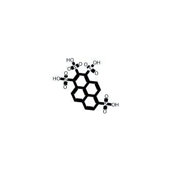 O=S(=O)(O)c1c(S(=O)(=O)O)c2ccc3ccc(S(=O)(=O)O)c4ccc(c1S(=O)(=O)O)c2c34